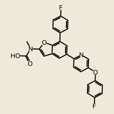 CN(C(=O)O)c1cc2cc(-c3ccc(Oc4ccc(F)cc4)cn3)cc(-c3ccc(F)cc3)c2o1